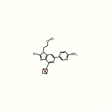 CCOCCn1c(CC)nc2c(N3CC4CC3C4)nc(-c3cnc(N)cn3)cc21